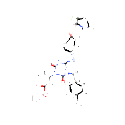 COC(=O)C[C@@H](C)n1c(=O)[nH]/c(=N\c2ccc(Oc3ncccc3F)cc2)n(Cc2ccc(C)cc2)c1=O